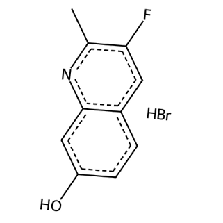 Br.Cc1nc2cc(O)ccc2cc1F